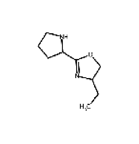 CCC1COC(C2CCCN2)=N1